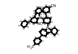 Cc1ccc(-c2ccc3c(c2)c2ccccc2n3-c2ccc(-c3cccc(C#N)c3)c(-n3c4ccccc4c4cc(-c5ccccc5)ccc43)c2C#N)cc1